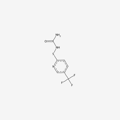 NC(=O)NSc1ccc(C(F)(F)F)cn1